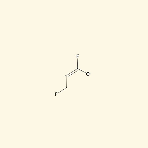 [O]/C(F)=[C]\CF